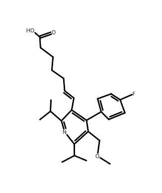 COCc1c(C(C)C)nc(C(C)C)c(/C=C/CCCCC(=O)O)c1-c1ccc(F)cc1